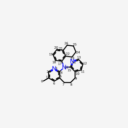 Cc1cnc2c(c1)CCCc1cccnc1N2c1cccc2c1CCCC2